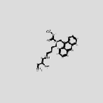 CC(C)(C)OC(=O)N(CCCCNCC(O)CN)Cc1c2ccccc2cc2ccccc12